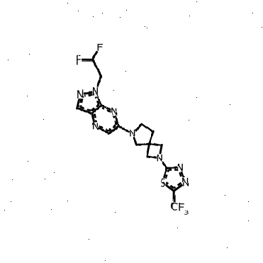 FC(F)Cn1ncc2ncc(N3CCC4(C3)CN(c3nnc(C(F)(F)F)s3)C4)nc21